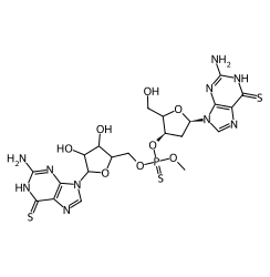 COP(=S)(OCC1OC(n2cnc3c(=S)[nH]c(N)nc32)C(O)C1O)O[C@@H]1C[C@H](n2cnc3c(=S)[nH]c(N)nc32)OC1CO